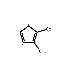 CC1=[C]([Co])CC=C1